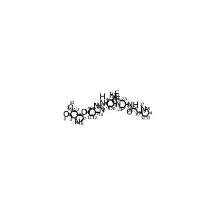 COc1cc2nccc(Oc3ccc4cnc(Nc5ccc(N6CCC(NC(=O)CCC7CCCCN7C)CC6)c(C(F)(F)F)c5)nc4c3)c2cc1OC